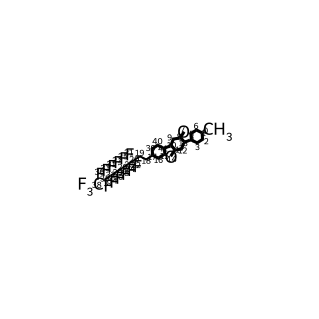 Cc1ccc2c(c1)oc1cc3c(cc12)oc1cc(CCC(F)(F)C(F)(F)C(F)(F)C(F)(F)C(F)(F)C(F)(F)C(F)(F)F)ccc13